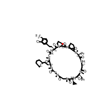 CC(C)C[C@H]1C(=O)N[C@@H](C2CC2)C(=O)N(C)CC(=O)N(C)CC(=O)N(C)[C@@H](CCC2CCCCC2)C(=O)N(C)CC(=O)N[C@@H](CCc2ccc(C(F)(F)F)c(Cl)c2)C(=O)N2CCC[C@H]2C(=O)NC2(CCCC2)C(=O)N(C)[C@@H](C(C)C)C(=O)N[C@H](C)CC(=O)N1C